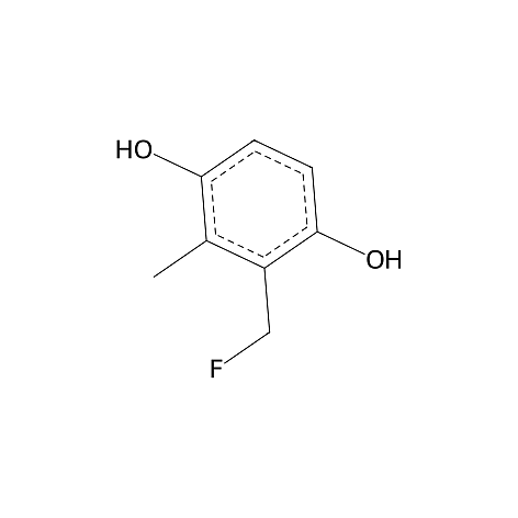 Cc1c(O)ccc(O)c1CF